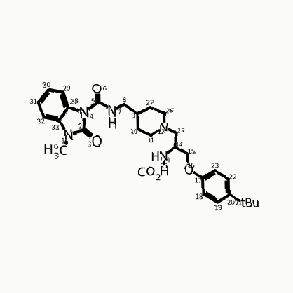 Cn1c(=O)n(C(=O)NCC2CCN(CC(COc3ccc(C(C)(C)C)cc3)NC(=O)O)CC2)c2ccccc21